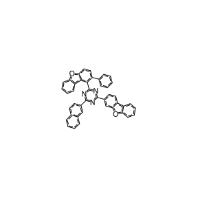 c1ccc(-c2ccc3oc4ccccc4c3c2-c2nc(-c3ccc4ccccc4c3)nc(-c3ccc4c(c3)oc3ccccc34)n2)cc1